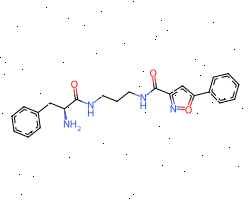 N[C@@H](Cc1ccccc1)C(=O)NCCCNC(=O)c1cc(-c2ccccc2)on1